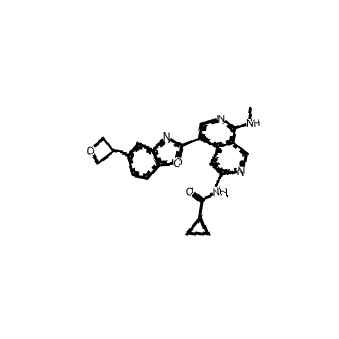 CNc1ncc(-c2nc3cc(C4COC4)ccc3o2)c2cc(NC(=O)C3CC3)ncc12